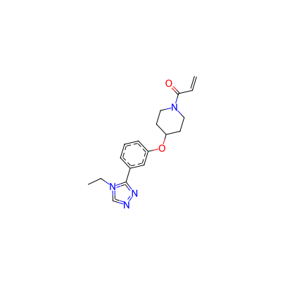 C=CC(=O)N1CCC(Oc2cccc(-c3nncn3CC)c2)CC1